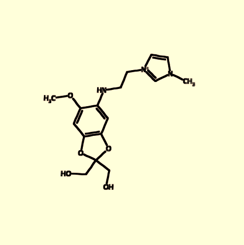 COc1cc2c(cc1NCC[n+]1ccn(C)c1)OC(CO)(CO)O2